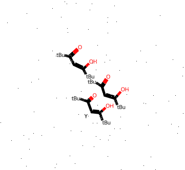 CC(C)(C)C(=O)C=C(O)C(C)(C)C.CC(C)(C)C(=O)C=C(O)C(C)(C)C.CC(C)(C)C(=O)C=C(O)C(C)(C)C.[Y]